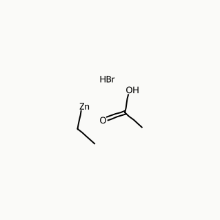 Br.CC(=O)O.C[CH2][Zn]